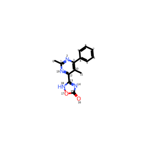 Cc1nc(-c2ccccc2)c(C)c(-c2nc(=O)o[nH]2)n1